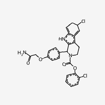 NC(=O)COc1ccc(C2c3[nH]c4c(c3CCN2C(=O)Oc2ccccc2Cl)=CC(Cl)CC=4)cc1